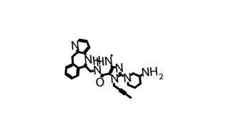 CC#CCn1c(N2CCCC(N)C2)nc(NC)c1C(=O)NCC1=Nc2cccnc2Cc2ccccc21